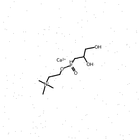 C[N+](C)(C)CCO[PH](=O)CC(O)CO.[Ca+2]